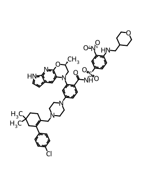 C[C@H]1CN(c2cc(N3CCN(CC4=C(c5ccc(Cl)cc5)CC(C)(C)CC4)CC3)ccc2C(=O)NS(=O)(=O)c2ccc(NCC3CCOCC3)c([N+](=O)[O-])c2)c2cc3cc[nH]c3nc2O1